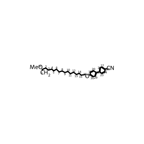 C=C(CCCCCCCCCCCCCCCOc1ccc(-c2ccc(C#N)cc2)cc1)OC